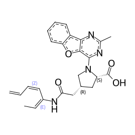 C=C/C=C\C(=C/C)NC(=O)C[C@H]1C[C@@H](C(=O)O)N(c2nc(C)nc3c2oc2ccccc23)C1